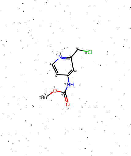 CC(C)(C)OC(=O)Nc1ccnc(CCl)c1